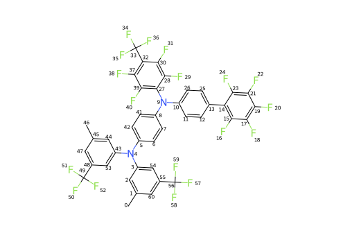 Cc1cc(N(c2ccc(N(c3ccc(-c4c(F)c(F)c(F)c(F)c4F)cc3)c3c(F)c(F)c(C(F)(F)F)c(F)c3F)cc2)c2cc(C)cc(C(F)(F)F)c2)cc(C(F)(F)F)c1